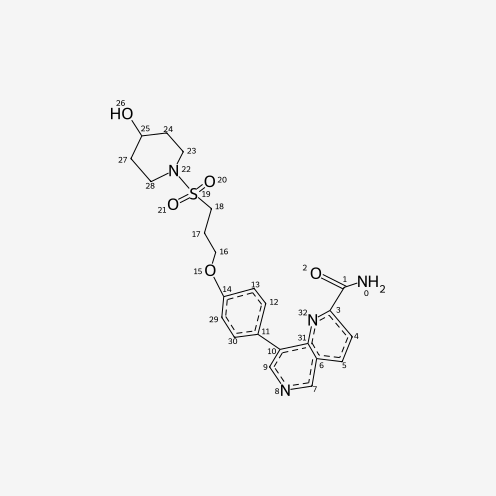 NC(=O)c1ccc2cncc(-c3ccc(OCCCS(=O)(=O)N4CCC(O)CC4)cc3)c2n1